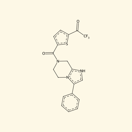 O=C(c1ccc(C(=O)C(F)(F)F)s1)N1CC[n+]2c(-c3ccccc3)c[nH]c2C1